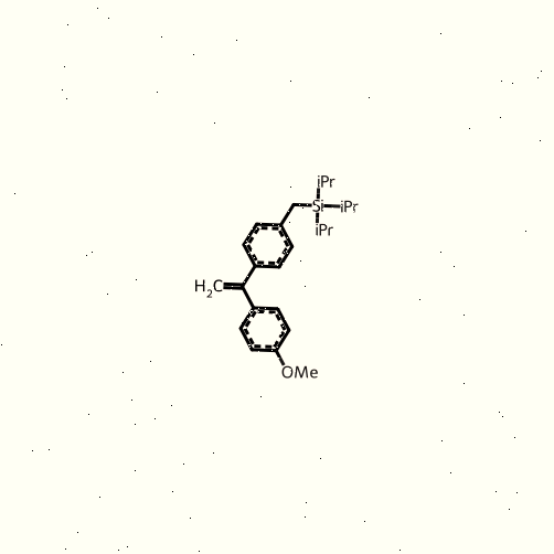 C=C(c1ccc(C[Si](C(C)C)(C(C)C)C(C)C)cc1)c1ccc(OC)cc1